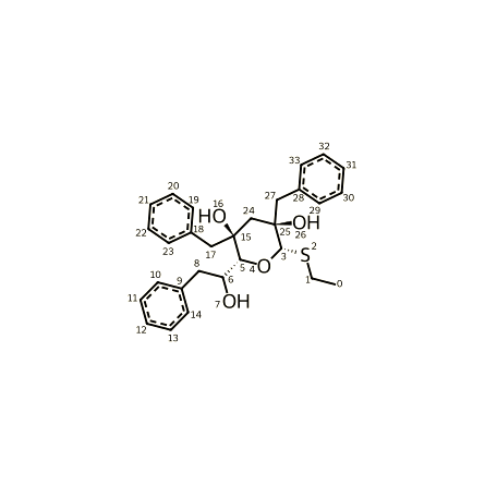 CCS[C@@H]1O[C@H](C(O)Cc2ccccc2)[C@](O)(Cc2ccccc2)C[C@]1(O)Cc1ccccc1